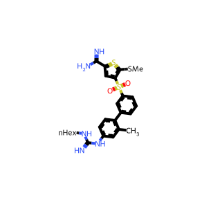 CCCCCCNC(=N)Nc1ccc(-c2cccc(S(=O)(=O)c3cc(C(=N)N)sc3SC)c2)c(C)c1